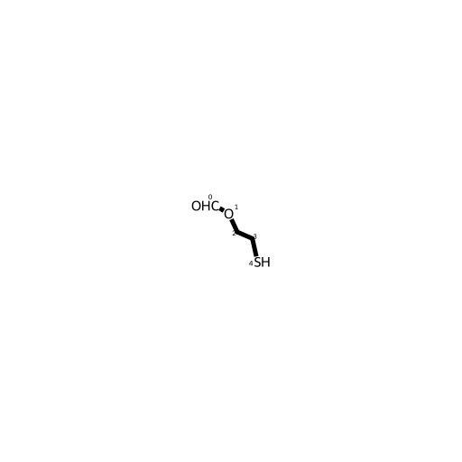 O=COCCS